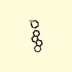 C1=CC=CNC=C1.c1ccc2c(c1)ccc1c3c(ccc12)CCCC3